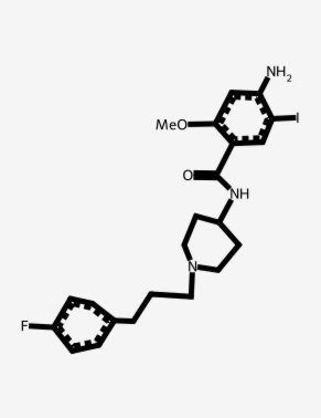 COc1cc(N)c(I)cc1C(=O)NC1CCN(CCCc2ccc(F)cc2)CC1